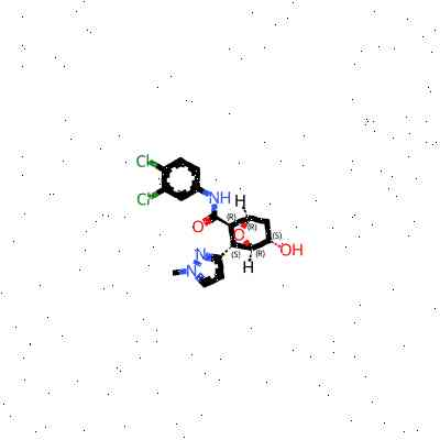 Cn1ccc([C@H]2[C@H]3O[C@H](C[C@@H]3O)[C@@H]2C(=O)Nc2ccc(Cl)c(Cl)c2)n1